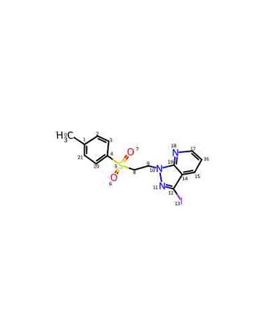 Cc1ccc(S(=O)(=O)CCn2nc(I)c3cccnc32)cc1